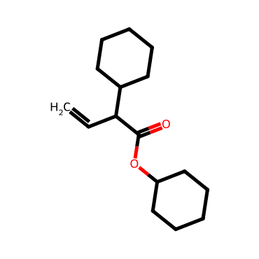 C=CC(C(=O)OC1CCCCC1)C1CCCCC1